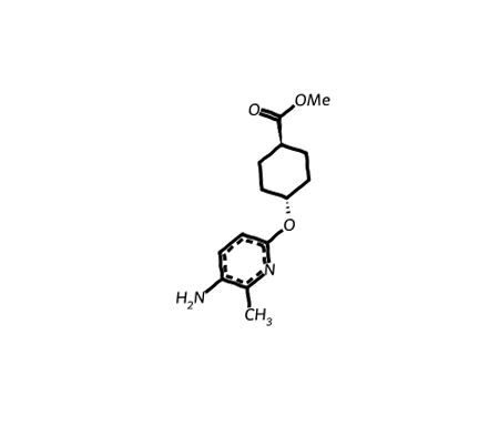 COC(=O)[C@H]1CC[C@H](Oc2ccc(N)c(C)n2)CC1